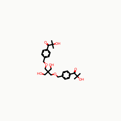 CC(C)(O)C(=O)c1ccc(COCC(CO)(CO)COCc2ccc(C(=O)C(C)(C)O)cc2)cc1